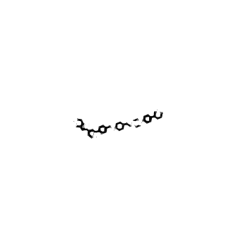 O=C1CCC(c2ccc(N3CCN(CCC4CCC(NC(=O)c5ccc(-c6cc(-c7cc8c([nH]7)CCNC8=O)ccn6)c(F)c5)CC4)CC3)cc2)C(=O)N1